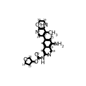 Cc1c(-c2cc3cc(NC(=O)OC4CCOC4)ncc3c(N)c2F)cnc2c1NCCO2